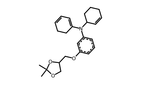 CC1(C)OCC(COc2cccc(N(C3=CC=CCC3)C3C=CCCC3)c2)O1